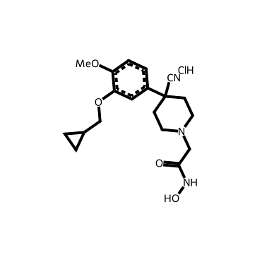 COc1ccc(C2(C#N)CCN(CC(=O)NO)CC2)cc1OCC1CC1.Cl